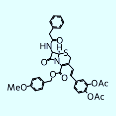 COc1ccc(COC(=O)C2=C(C=Cc3ccc(OC(C)=O)c(OC(C)=O)c3)CS[C@H]3C(NC(=O)Cc4ccccc4)C(=O)N23)cc1